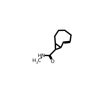 CNC(=O)C1C2/C=C/CCCCC21